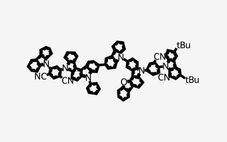 CC(C)(C)c1ccc2c(c1)c1cc(C(C)(C)C)ccc1n2-c1c(C#N)cc(-n2c3ccc(-n4c5ccccc5c5cc(-c6ccc7c8c9c%10ccccc%10n(-c%10cc(-n%11c%12ccccc%12c%12ccccc%12%11)c(C#N)cc%10C#N)c9ccc8n(-c8ccccc8)c7c6)ccc54)cc3c3c4oc5ccccc5c4ccc32)cc1C#N